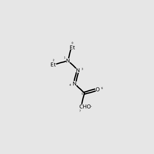 CCN(CC)N=NC(=O)[C]=O